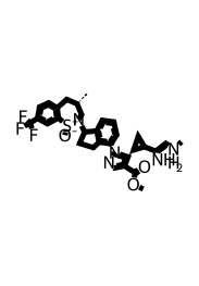 CN/C=C(\N)C1C[C@H]1c1c(C(=O)OC)cnn1-c1cccc2c1CCC2N1C[C@@H](C)Cc2ccc(C(F)(F)F)cc2[S+]1[O-]